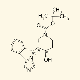 CC(C)(C)OC(=O)N1CC[C@@H](O)[C@H]([C@H]2c3ccccc3-c3cncn32)C1